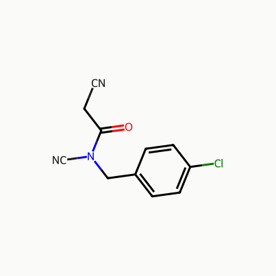 N#CCC(=O)N(C#N)Cc1ccc(Cl)cc1